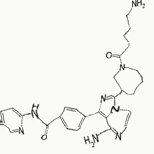 NCCCCC(=O)N1CCCC(c2nc(-c3ccc(C(=O)Nc4ccccn4)cc3)c3c(N)nccn23)C1